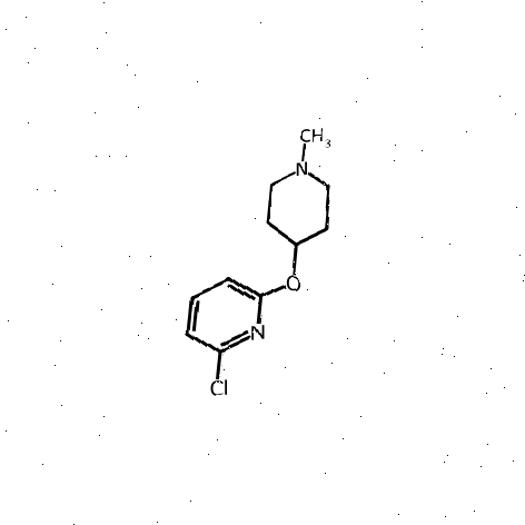 CN1CCC(Oc2cccc(Cl)n2)CC1